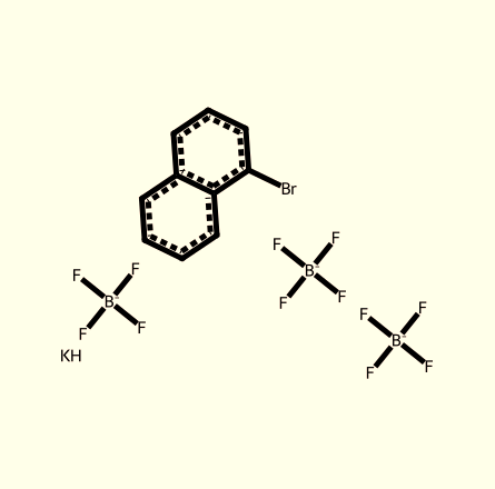 Brc1cccc2ccccc12.F[B-](F)(F)F.F[B-](F)(F)F.F[B-](F)(F)F.[KH]